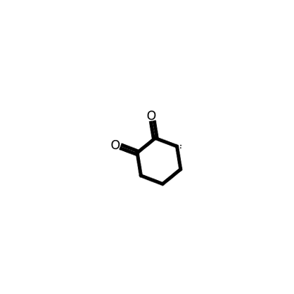 O=C1[C]CCCC1=O